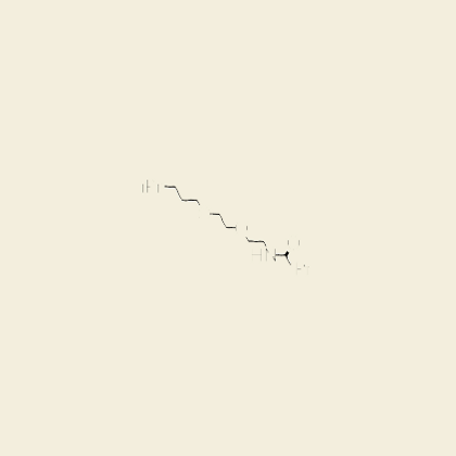 CC(C)CCCOCCOCCNC(=O)C(C)C